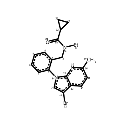 CCN(Cc1ccccc1-n1cc(Br)c2ccc(C)nc21)C(=O)C1CC1